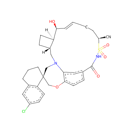 N#C[C@@H]1CC/C=C/[C@H](O)[C@@H]2CC[C@H]2CN2C[C@@]3(CCCc4cc(Cl)ccc43)COc3ccc(cc32)C(=O)NS1(=O)=O